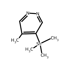 Cc1cnnc[c]1[Sn]([CH3])([CH3])[CH3]